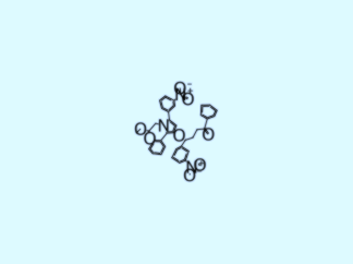 COC(=O)Cn1c(-c2ccccc2)ccc1-c1cccc([N+](=O)[O-])c1.O=C(CCC(=O)c1cccc([N+](=O)[O-])c1)c1ccccc1